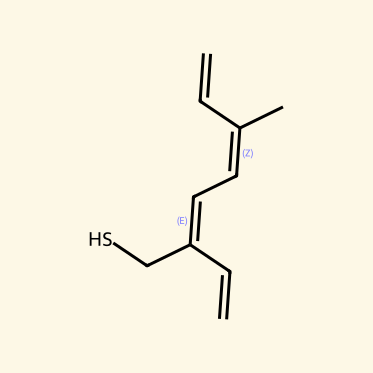 C=C/C(C)=C\C=C(/C=C)CS